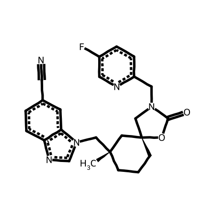 C[C@]1(Cn2cnc3ccc(C#N)cc32)CCC[C@]2(CN(Cc3ccc(F)cn3)C(=O)O2)C1